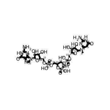 CN(c1cc(=O)[nH]c(N)n1)C1O[C@H](COP(=O)(O)OCC(COP(=O)(O)OC[C@H]2O[C@@H](n3cnc4c(=O)[nH]c(N)nc43)[C@H](O)[C@@H]2O)OP(=O)(O)O)[C@@H](O)[C@H]1O